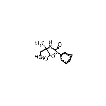 CC(CO)(CO)NS(=O)(=O)c1ccccc1